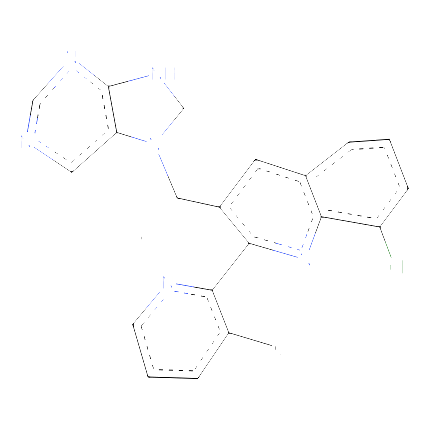 Cc1cccnc1-c1nc2c(Cl)cccc2cc1[C@H](C)N1CNc2ncncc21